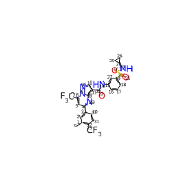 Cc1cc(-c2cc(C(F)(F)F)n3ncc(C(=O)Nc4cccc(S(=O)(=O)NC5CC5)c4)c3n2)ccc1C(F)(F)F